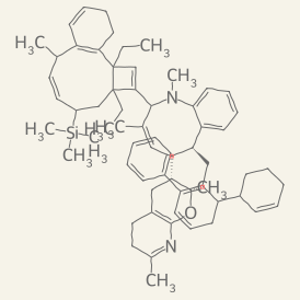 CCC12C=C(C3C(C)=CC([C@H]4CC5=C(N=C(C)CC5)O[C@H]4C)[C@H](CC4=C(c5ccccc5)C=CCC4C4C=CCCC4)c4ccccc4N3C)C1(CC)CC([Si](C)(C)C)/C=C\C(C)C1=C2CCC=C1